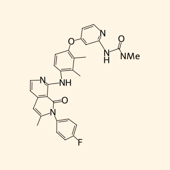 CNC(=O)Nc1cc(Oc2ccc(Nc3nccc4cc(C)n(-c5ccc(F)cc5)c(=O)c34)c(C)c2C)ccn1